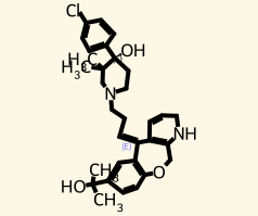 CC(C)(O)c1ccc2c(c1)/C(=C/CCN1CC[C@](O)(c3ccc(Cl)cc3)C(C)(C)C1)C1=C(CO2)NCC=C1